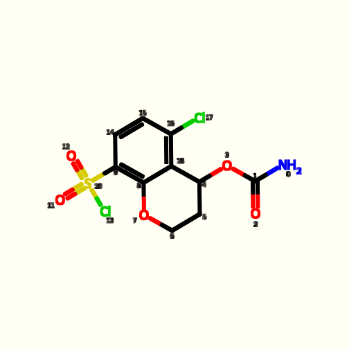 NC(=O)OC1CCOc2c(S(=O)(=O)Cl)ccc(Cl)c21